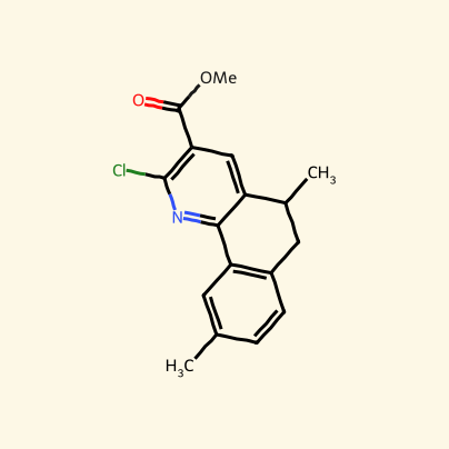 COC(=O)c1cc2c(nc1Cl)-c1cc(C)ccc1CC2C